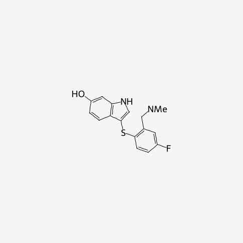 CNCc1cc(F)ccc1Sc1c[nH]c2cc(O)ccc12